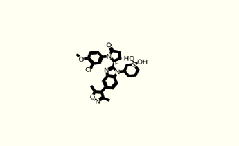 COc1ccc(N2C(=O)CC[C@H]2c2nc3cc(-c4c(C)noc4C)ccc3n2C2CCCS(O)(O)C2)cc1Cl